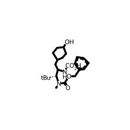 CN(C(=O)OCc1ccccc1)[C@@H](C(CC1CCC(O)CC1)NC(=O)O)C(C)(C)C